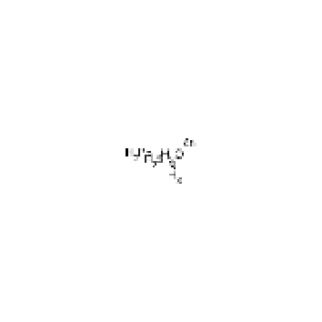 N.O.S.[PbH2].[Zn]